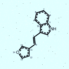 C(=C\c1c[nH]c2ccccc12)/c1ccoc1